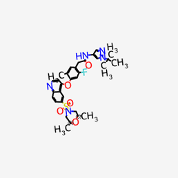 Cc1cc(CC(=O)Nc2cnn(C(C)(C)C)c2)c(F)cc1Oc1ccnc2ccc(S(=O)(=O)N3C[C@@H](C)O[C@@H](C)C3)cc12